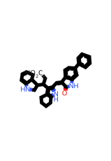 O=C(O)CC(c1c(C=C2C(=O)Nc3cc(-c4ccccc4)ccc32)[nH]c2c1CCCC2)C1CNC2=CC=CCC21